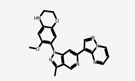 COc1cc2c(cc1-n1nc(C)c3cnc(-c4cnn5cccnc45)cc31)OCCN2